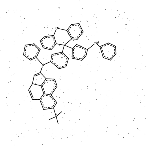 CC(C)(C)c1cc2c3c4c(ccc3c1)C(N(c1ccccc1)c1cccc(C3(c5cccc(Nc6ccccc6)c5)c5ccccc5Oc5ccccc53)c1)=CC4C=C2